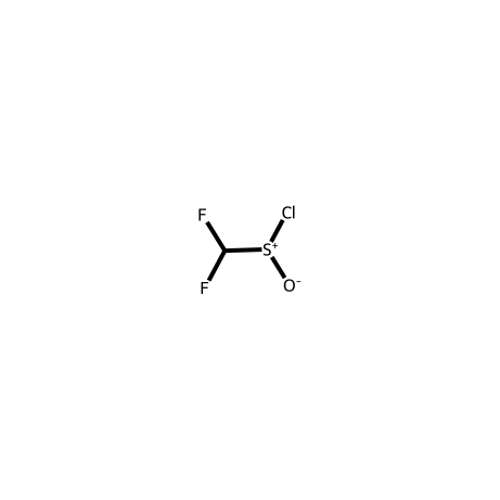 [O-][S+](Cl)C(F)F